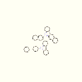 c1ccc(-c2ccc(-n3c4ccccc4c4cc(-c5c6ccccc6cc6c7ccccc7n(-c7ccc8ccccc8c7)c56)ccc43)cc2)cc1